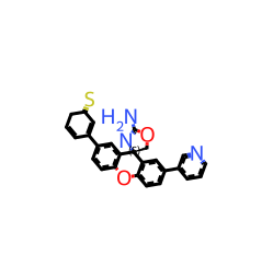 NC1=N[C@@]2(CO1)c1cc(C3=CC(=S)CC=C3)ccc1Oc1ccc(-c3cccnc3)cc12